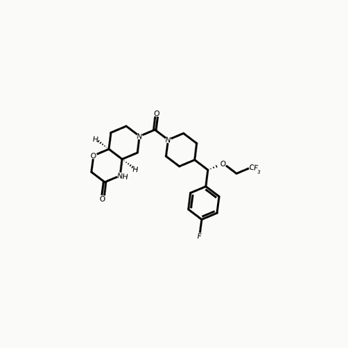 O=C1CO[C@H]2CCN(C(=O)N3CCC([C@H](OCC(F)(F)F)c4ccc(F)cc4)CC3)C[C@H]2N1